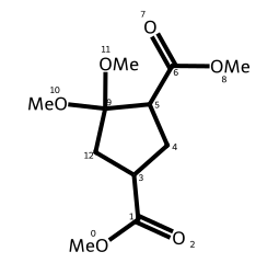 COC(=O)C1CC(C(=O)OC)C(OC)(OC)C1